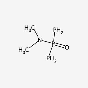 CN(C)P(=O)(P)P